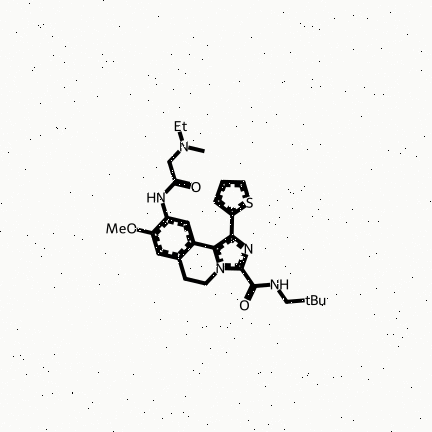 CCN(C)CC(=O)Nc1cc2c(cc1OC)CCn1c(C(=O)NCC(C)(C)C)nc(-c3cccs3)c1-2